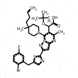 C=CCCC1(C)CCN(c2c(C(OC(C)(C)C)C(=O)O)c(C)nc3cc(-c4ncc(Cc5cc(F)ccc5Br)s4)nn23)CC1